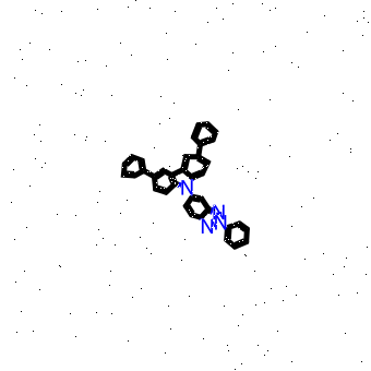 c1ccc(-c2ccc3c(c2)c2cc(-c4ccccc4)ccc2n3-c2ccc3nn(-c4ccccc4)nc3c2)cc1